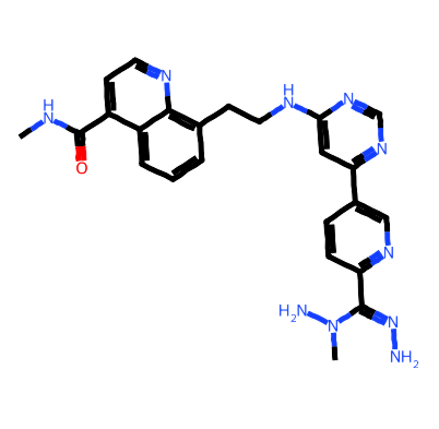 CNC(=O)c1ccnc2c(CCNc3cc(-c4ccc(/C(=N/N)N(C)N)nc4)ncn3)cccc12